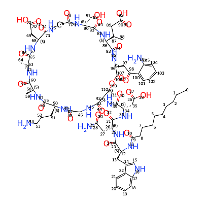 CCCCCCCCCC(=O)N[C@@H](Cc1c[nH]c2ccccc12)C(=O)N[C@H](CC(N)=O)C(=O)N[C@@H](CC(=O)O)C(=O)N[C@@H]1C(=O)NCC(=O)N[C@@H](CCCN)C(=O)N[C@@H](C)C(=O)N[C@H](C)C(=O)N[C@@H](CC(=O)O)C(=O)NCC(=O)N[C@H](CO)C(=O)N[C@@H](C(C)CC(=O)O)C(=O)N[C@@H](CC(=O)c2ccccc2N)C(=O)O[C@@H]1C